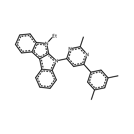 CCn1c2ccccc2c2c3ccccc3n(-c3cc(-c4cc(C)cc(C)c4)nc(C)n3)c21